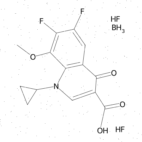 B.COc1c(F)c(F)cc2c(=O)c(C(=O)O)cn(C3CC3)c12.F.F